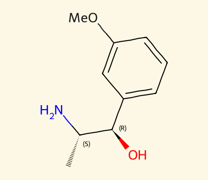 COc1cccc([C@@H](O)[C@H](C)N)c1